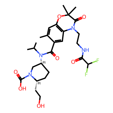 Cc1cc2c(cc1C(=O)N(C(C)C)[C@@H]1CC[C@H](CCO)N(C(=O)O)C1)N(CCNC(=O)C(F)F)C(=O)C(C)(C)O2